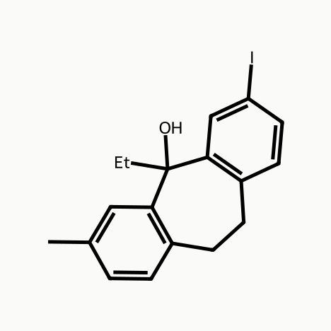 CCC1(O)c2cc(C)ccc2CCc2ccc(I)cc21